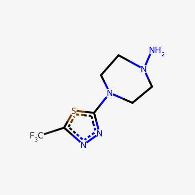 NN1CCN(c2nnc(C(F)(F)F)s2)CC1